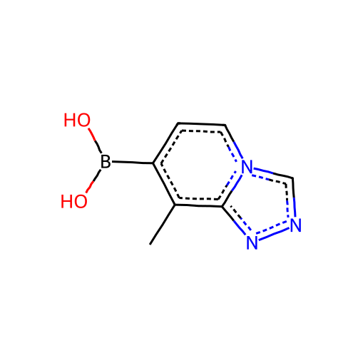 Cc1c(B(O)O)ccn2cnnc12